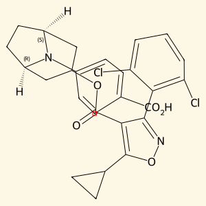 O=C(O)c1ccc(N2[C@@H]3CC[C@H]2CC(OC(=O)c2c(-c4c(Cl)cccc4Cl)noc2C2CC2)C3)cc1